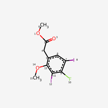 COC(=O)Cc1cc(I)c(F)c(I)c1OC